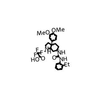 CCc1ccccc1NC(=O)N[C@@H]1CC[C@@]2(c3ccc(OC)c(OC)c3)CCN(C)[C@H]2C1.O=C(O)C(F)(F)F